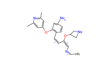 CCC\C=N/C=C(\C=C/c1ccc(N)cc1Oc1cc(C)nc(C)c1)OC1CNC1